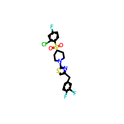 O=S(=O)(c1ccc(F)cc1Cl)C1CCN(c2nc(Cc3ccc(F)c(F)c3)cs2)CC1